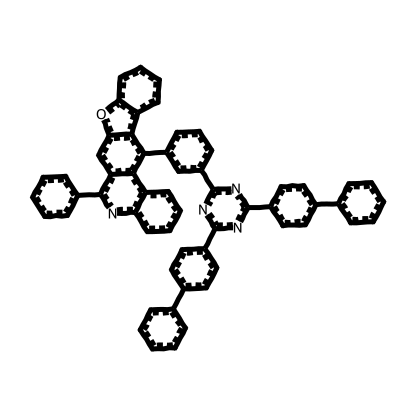 c1ccc(-c2ccc(-c3nc(-c4ccc(-c5ccccc5)cc4)nc(-c4cccc(-c5c6c(cc7c(-c8ccccc8)nc8ccccc8c57)oc5ccccc56)c4)n3)cc2)cc1